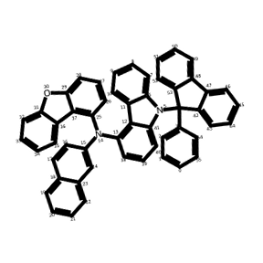 c1ccc(C2(n3c4ccccc4c4c(N(c5ccc6ccccc6c5)c5cccc6oc7ccccc7c56)cccc43)c3ccccc3-c3ccccc32)cc1